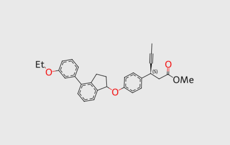 CC#C[C@@H](CC(=O)OC)c1ccc(OC2CCc3c(-c4cccc(OCC)c4)cccc32)cc1